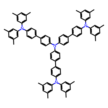 Cc1cc(C)cc(N(c2ccc(-c3ccc(N(c4ccc(-c5ccc(N(c6cc(C)cc(C)c6)c6cc(C)cc(C)c6)cc5)cc4)c4ccc(-c5ccc(N(c6cc(C)cc(C)c6)c6cc(C)cc(C)c6)cc5)cc4)cc3)cc2)c2cc(C)cc(C)c2)c1